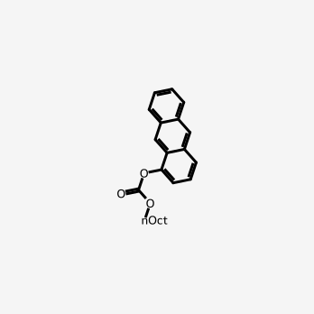 CCCCCCCCOC(=O)Oc1cccc2cc3ccccc3cc12